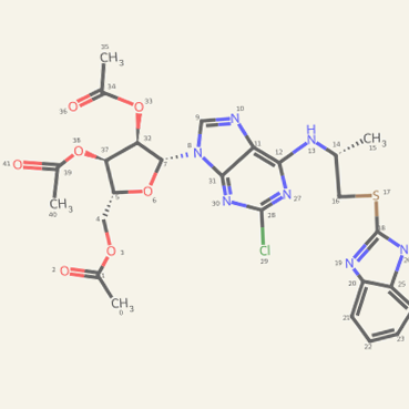 CC(=O)OC[C@H]1O[C@@H](n2cnc3c(N[C@H](C)CSc4nc5ccccc5[nH]4)nc(Cl)nc32)[C@H](OC(C)=O)[C@@H]1OC(C)=O